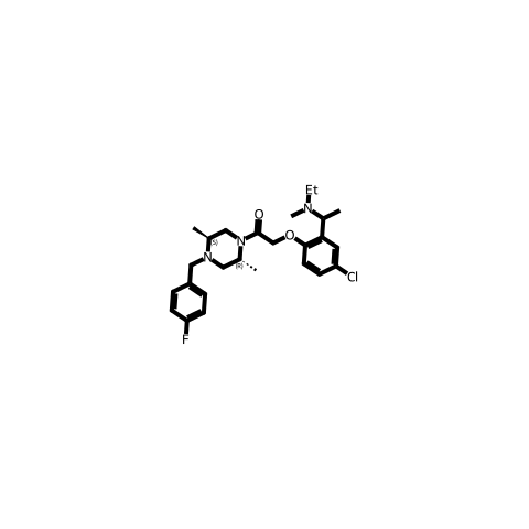 CCN(C)C(C)c1cc(Cl)ccc1OCC(=O)N1C[C@H](C)N(Cc2ccc(F)cc2)C[C@H]1C